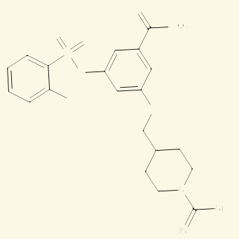 COC(=O)c1cc(OCC2CCN(C(=N)N)CC2)cc(OS(=O)(=O)c2ccccc2Cl)c1